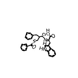 O=C(SCC(Cc1ccccc1)C(=O)N[C@H](Cc1c[nH]c2ccccc12)C(=O)O)c1ccccc1